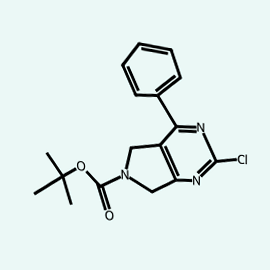 CC(C)(C)OC(=O)N1Cc2nc(Cl)nc(-c3ccccc3)c2C1